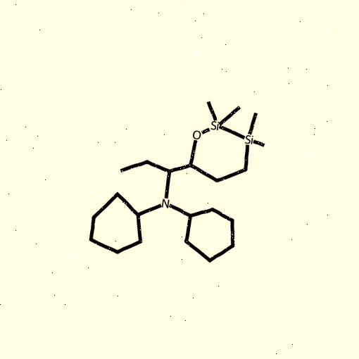 CCC(C1CC[Si](C)(C)[Si](C)(C)O1)N(C1CCCCC1)C1CCCCC1